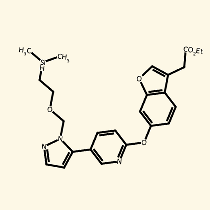 CCOC(=O)Cc1coc2cc(Oc3ccc(-c4ccnn4COCC[SiH](C)C)cn3)ccc12